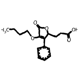 CCCCOC1=C(c2ccccc2)C(CCC(=O)O)OC1=O